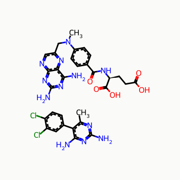 CN(Cc1cnc2nc(N)nc(N)c2n1)c1ccc(C(=O)N[C@@H](CCC(=O)O)C(=O)O)cc1.Cc1nc(N)nc(N)c1-c1ccc(Cl)c(Cl)c1